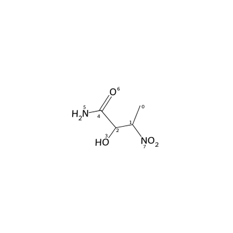 CC(C(O)C(N)=O)[N+](=O)[O-]